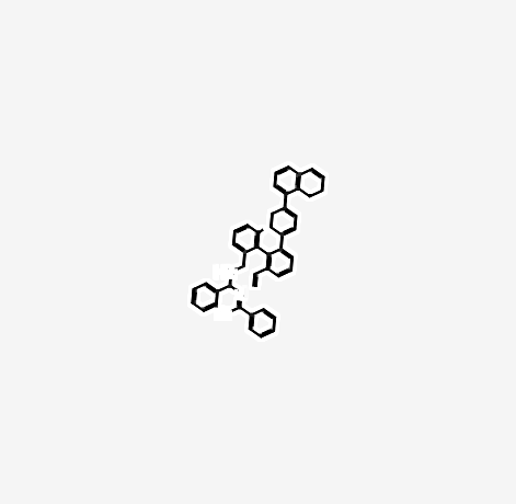 C=Cc1cccc(C2=CC=C(c3cccc4c3CCC=C4)CC2)c1-c1c(C)cccc1CNC(/N=C(\CC)c1ccccc1)c1ccccc1